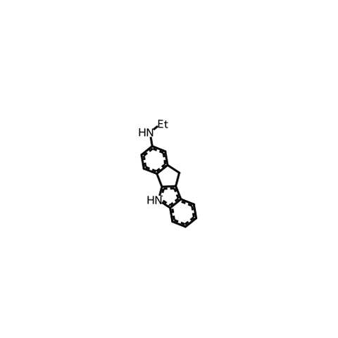 CCNc1ccc2c(c1)Cc1c-2[nH]c2ccccc12